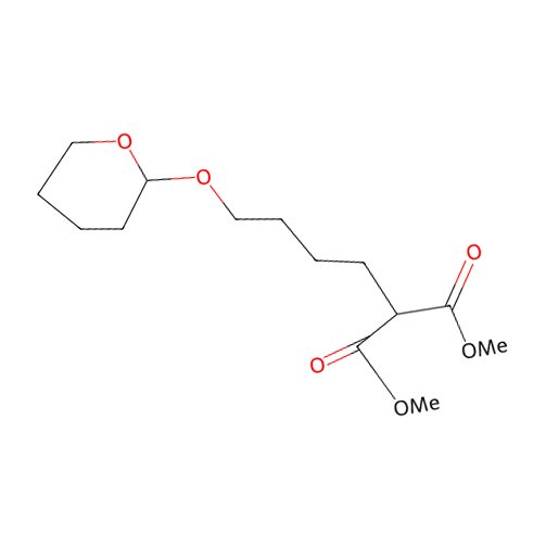 COC(=O)C(CCCCOC1CCCCO1)C(=O)OC